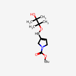 CC(C)(C)OC(=O)N1CC=C(BOC(C)(C)C(C)(C)O)C1